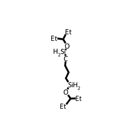 CCC(CC)O[SiH2]CCCC[SiH2]OC(CC)CC